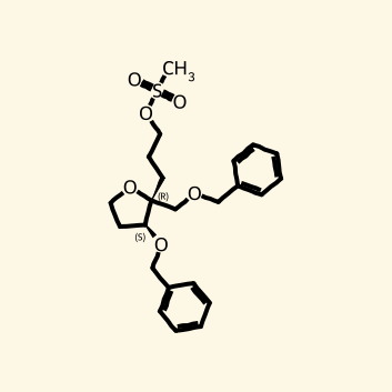 CS(=O)(=O)OCCC[C@]1(COCc2ccccc2)OCC[C@@H]1OCc1ccccc1